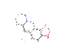 Cl.O=C(O)[C@H]1CCCCN1Cc1cccc2c1OCO2